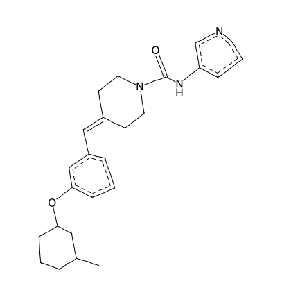 CC1CCCC(Oc2cccc(C=C3CCN(C(=O)Nc4cccnc4)CC3)c2)C1